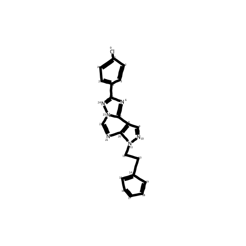 Clc1ccc(-c2nc3c4cnn(CCc5ccccc5)c4ncn3n2)cc1